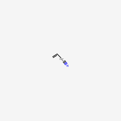 C=C[13C]#N